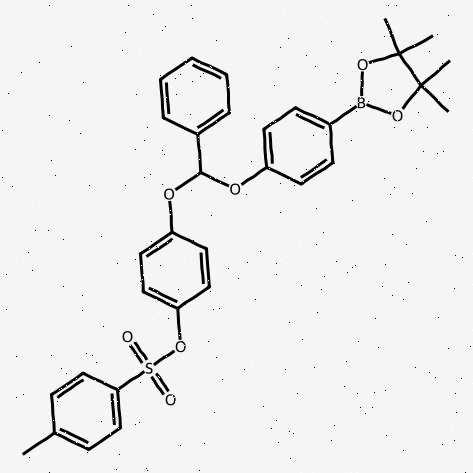 Cc1ccc(S(=O)(=O)Oc2ccc(OC(Oc3ccc(B4OC(C)(C)C(C)(C)O4)cc3)c3ccccc3)cc2)cc1